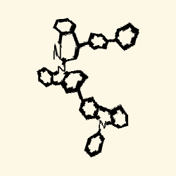 C1=CCC2N=C(n3c4ccccc4c4cc(-c5ccc6c(c5)c5ccccc5n6-c5ccccc5)ccc43)C=C(c3ccc(-c4ccccc4)cc3)C2=C1